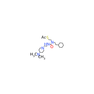 CC(=O)SCCN(CCC1CCCCC1)C(=O)NCCN1CCC(N(C)C)CC1